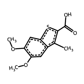 COc1cc2sc(C(=O)O)c(C)c2cc1OC